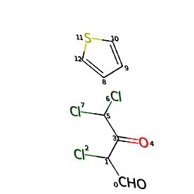 O=CC(Cl)C(=O)C(Cl)Cl.c1ccsc1